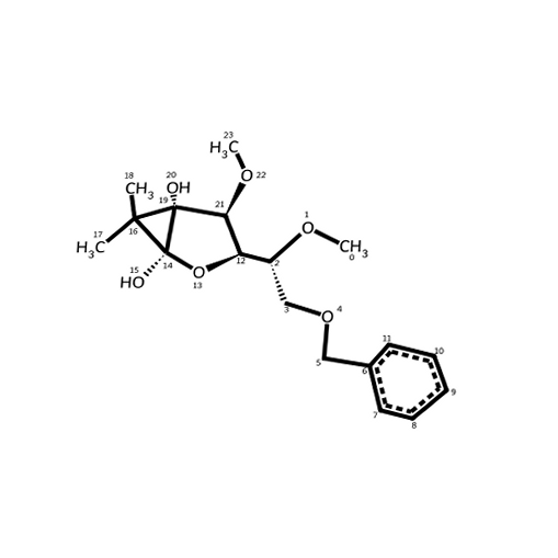 CO[C@H](COCc1ccccc1)[C@H]1O[C@@]2(O)C(C)(C)[C@@]2(O)[C@H]1OC